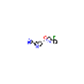 Cn1cc(-c2cnc3ccc(CCn4nc(-c5ccccc5F)ccc4=O)cc3c2)cn1